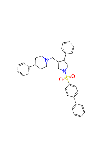 O=S(=O)(c1ccc(-c2ccccc2)cc1)N1CC(CN2CCC(c3ccccc3)CC2)C(c2ccccc2)C1